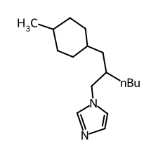 CCCCC(CC1CCC(C)CC1)Cn1ccnc1